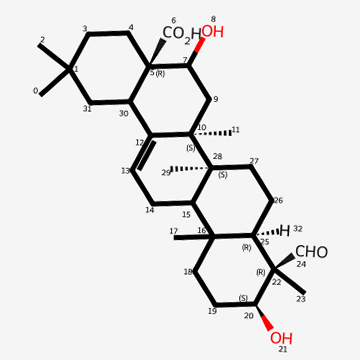 CC1(C)CC[C@]2(C(=O)O)C(O)C[C@]3(C)C(=CCC4C5(C)CC[C@H](O)[C@](C)(C=O)[C@@H]5CC[C@@]43C)C2C1